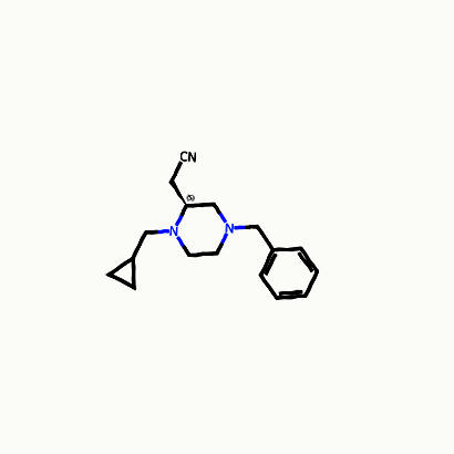 N#CC[C@H]1CN(Cc2ccccc2)CCN1CC1CC1